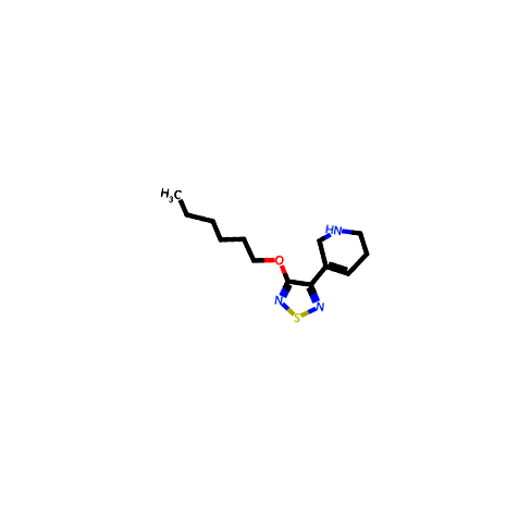 CCCCCCOc1nsnc1C1=CCCNC1